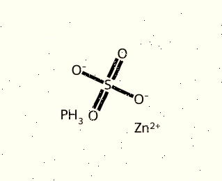 O=S(=O)([O-])[O-].P.[Zn+2]